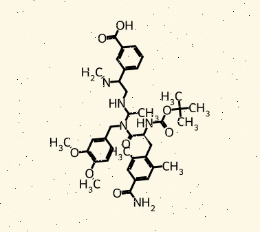 C=NC(CNC(C)N(Cc1ccc(OC)c(OC)c1)C(=O)[C@H](Cc1c(C)cc(C(N)=O)cc1C)NC(=O)OC(C)(C)C)c1cccc(C(=O)O)c1